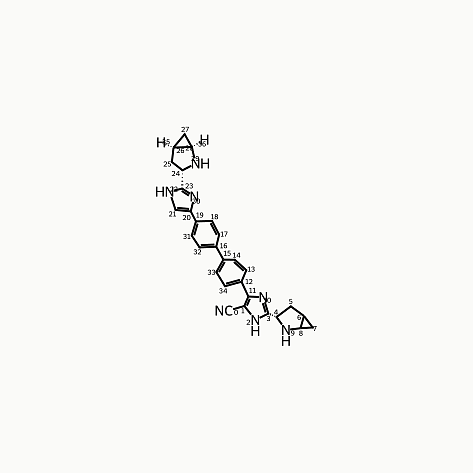 N#Cc1[nH]c([C@@H]2CC3CC3N2)nc1-c1ccc(-c2ccc(-c3c[nH]c([C@@H]4C[C@H]5C[C@H]5N4)n3)cc2)cc1